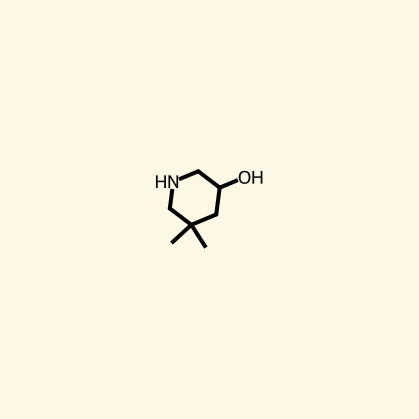 CC1(C)CNCC(O)C1